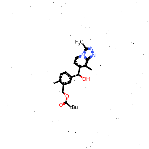 Cc1ccc(C(O)c2ccn3c(C(F)(F)F)nnc3c2C)cc1COC(=O)C(C)(C)C